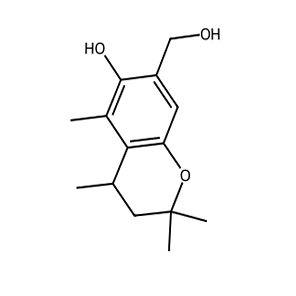 Cc1c(O)c(CO)cc2c1C(C)CC(C)(C)O2